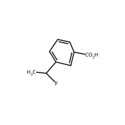 CC(F)c1cccc(C(=O)O)c1